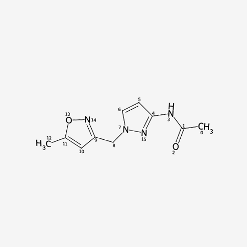 CC(=O)Nc1ccn(Cc2cc(C)on2)n1